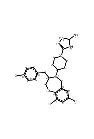 NC1NN=C(N2CCC(N3Cc4cc(Cl)cc(Cl)c4OCC3Cc3ccc(Cl)cc3)CC2)N1